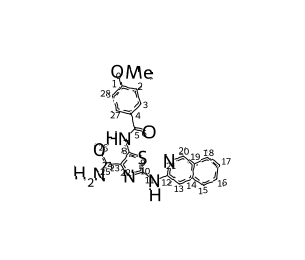 COc1ccc(C(=O)Nc2sc(Nc3cc4ccccc4cn3)nc2C(N)=O)cc1